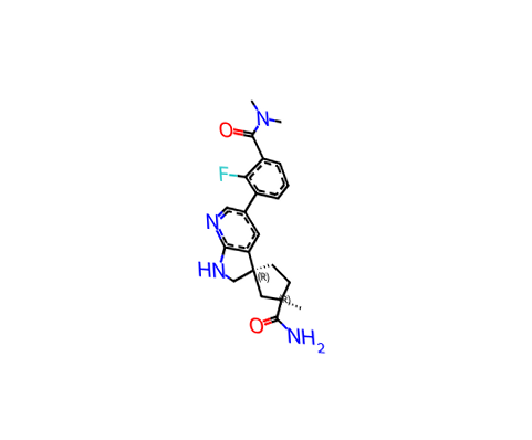 CN(C)C(=O)c1cccc(-c2cnc3c(c2)[C@]2(CC[C@@](C)(C(N)=O)C2)CN3)c1F